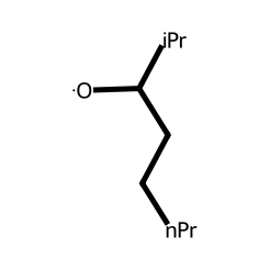 CCCCCC([O])C(C)C